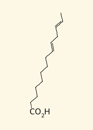 CC=CCC=CCCCCCCCC(=O)O